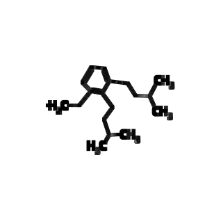 [CH2]Cc1cccc(CCC(C)C)c1CCC(C)C